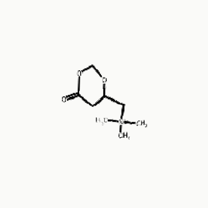 C[N+](C)(C)CC1CC(=O)OCO1